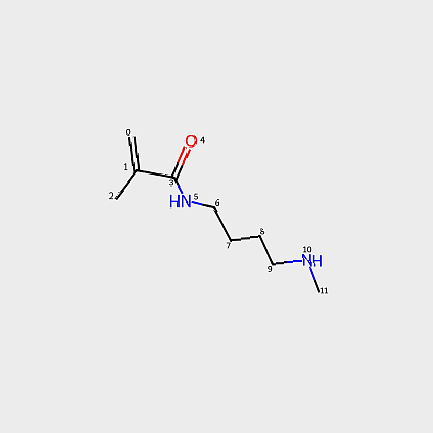 C=C(C)C(=O)NCCCCNC